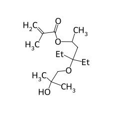 C=C(C)C(=O)OC(C)CC(CC)(CC)OCC(C)(C)O